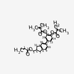 C=CC(=O)OCC1Cc2ccc(-c3ccc(OC(=O)C(=C)C)c(OC(=O)C(=C)C)c3)cc2C1